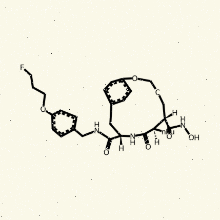 CCCC[C@H]1C(=O)N[C@H](C(=O)NCc2ccc(OCCCF)cc2)Cc2ccc(cc2)OCCC[C@@H]1C(=O)NO